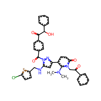 CN(C)c1c(-c2cc(NCc3ccc(Cl)s3)n(C(=O)c3ccc(C(=O)C(O)c4ccccc4)cc3)n2)ccc(=O)n1CC(=O)c1ccccc1